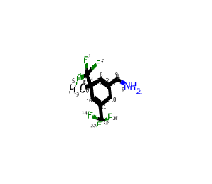 CC1(C(F)(F)F)C=C(CN)CC(C(F)(F)F)=C1